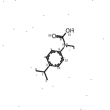 CC(C)c1ccc(N(C)C(=O)O)cc1